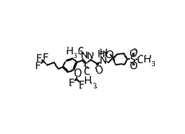 Cc1c(C(=O)NCC2(O)CCC(S(C)(=O)=O)CC2)nn(C)c1-c1ccc(CCCC(F)(F)F)cc1OC(F)F